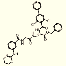 O=C(CNC(=O)c1cccc(NC2=NCCCO2)c1)NC[C@H](NC(=O)c1c(Cl)cc(-c2ccccc2)cc1Cl)C(=O)OCc1ccccc1